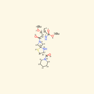 C[C@@H](OC(C)(C)C)[C@H](NC(=O)OC(C)(C)C)C(=O)N1CC2(C1)N[C@H](C(=O)N1CCCCC1)CS2